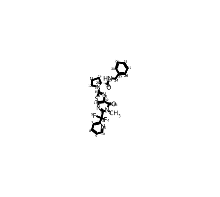 Cn1c(C(F)(F)c2ccccn2)nc2sc(N3CCC[C@@H]3C(=O)NCc3ccccc3)nc2c1=O